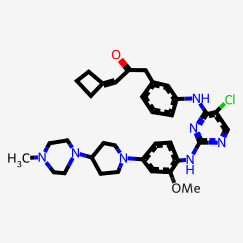 COc1cc(N2CCC(N3CCN(C)CC3)CC2)ccc1Nc1ncc(Cl)c(Nc2cccc(CC(=O)C=C3CCC3)c2)n1